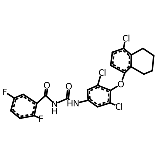 O=C(NC(=O)c1cc(F)ccc1F)Nc1cc(Cl)c(Oc2ccc(Cl)c3c2CCCC3)c(Cl)c1